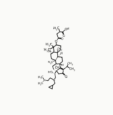 CC(C)C1=C2[C@H]3CC[C@@H]4[C@@]5(C)CC[C@H](OC(=O)CC(C)C(=O)O)C(C)(C)[C@@H]5CC[C@@]4(C)[C@]3(C)CC[C@@]2([C@@H](O)CN(CCN(C)C)CC2CC2)CC1=O